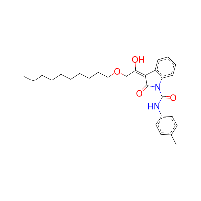 CCCCCCCCCCOCC(O)=C1C(=O)N(C(=O)Nc2ccc(C)cc2)c2ccccc21